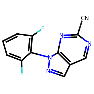 N#Cc1ncc2cnn(-c3c(F)cccc3F)c2n1